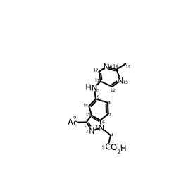 CC(=O)c1nn(CC(=O)O)c2ccc(Nc3cnc(C)nc3)cc12